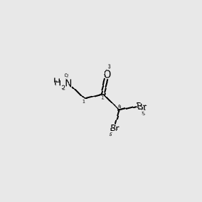 NCC(=O)C(Br)Br